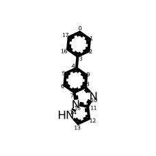 c1ccc(-c2ccc3c(c2)nc2cc[nH]n23)cc1